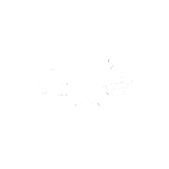 CC(C)[C@]12O[C@H]1[C@@H]1O[C@]13[C@]1(O[C@H]1CC1C4=C(CC[C@@]13C)C(=O)OC4)[C@@H]2OC(=O)CCC(=O)N1CCN(C(=O)CCC(=O)N[C@H]2C(O)O[C@H](CO)[C@@H](O)[C@@H]2O)CC1